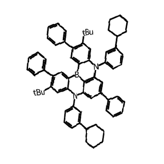 CC(C)(C)c1cc2c(cc1-c1ccccc1)B1c3cc(-c4ccccc4)c(C(C)(C)C)cc3N(c3cccc(C4CCCCC4)c3)c3cc(-c4ccccc4)cc(c31)N2c1cccc(C2CCCCC2)c1